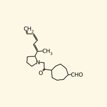 C=C/C=C\C=C(/C)C1CCCN1CC(=O)C1CCCC(C=O)CCC1